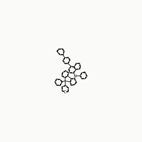 c1ccc(-c2ccc(-c3ccc(N(c4ccccc4)c4cccc5c4-c4ccccc4C5(c4ccccc4)c4ccccc4)c4ccccc34)cc2)cc1